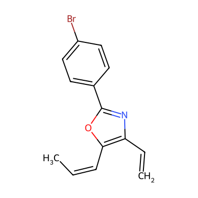 C=Cc1nc(-c2ccc(Br)cc2)oc1/C=C\C